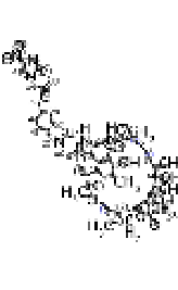 CO[C@H]1/C=C/O[C@@]2(C)Oc3c(C)c(O)c4c(c3C2=O)C2=NC3(CCN(Cc5ccc(CO[C@@H]6COc7nc([N+](=O)[O-])cn7C6)cc5)CC3)NC2=C(NC(=O)/C(C)=C\C=C\[C@H](C)[C@H](O)[C@@H](C)[C@@H](O)[C@@H](C)[C@H](OC(C)=O)C1C)C4=O